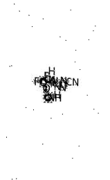 N#Cc1cnc(Nc2cc(-c3c(F)cc(F)cc3OC[C@H]3CCCNC3)[nH]n2)cn1